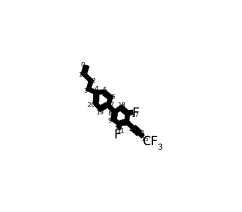 C=CCCc1ccc(-c2cc(F)c(C#CC(F)(F)F)c(F)c2)cc1